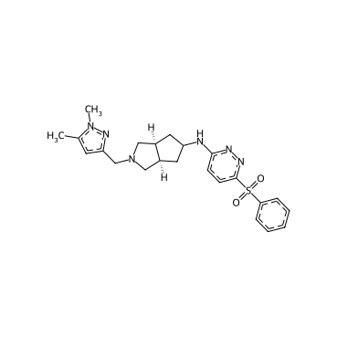 Cc1cc(CN2C[C@H]3CC(Nc4ccc(S(=O)(=O)c5ccccc5)nn4)C[C@H]3C2)nn1C